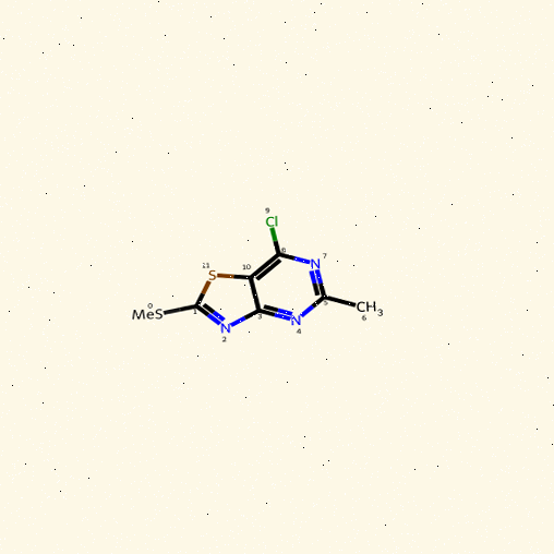 CSc1nc2nc(C)nc(Cl)c2s1